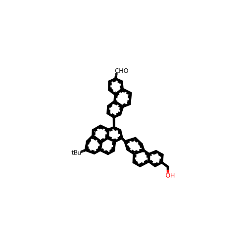 CC(C)(C)c1cc2ccc3c(-c4ccc5c(ccc6cc(C=O)ccc65)c4)cc(-c4ccc5c(ccc6cc(CO)ccc65)c4)c4ccc(c1)c2c34